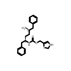 N[C@H](CC[C@H](Cc1ccccc1)NC(=O)OCC1=CNCS1)Cc1ccccc1